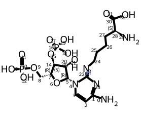 Nc1ccn([C@@H]2O[C@H](COP(=O)(O)O)[C@@H](OP(=O)(O)O)[C@H]2O)/c(=N/CCCC[C@H](N)C(=O)O)n1